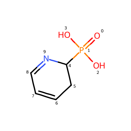 O=P(O)(O)C1CC=CC=N1